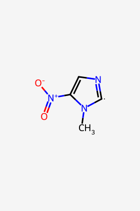 Cn1[c]ncc1[N+](=O)[O-]